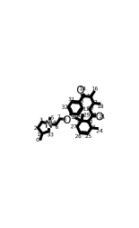 CC1CC[N+](C)(CCOc2ccc(C(=O)C(C)C(C)CC(=O)C3C(C)C=CCC3(C)C)cc2)C1